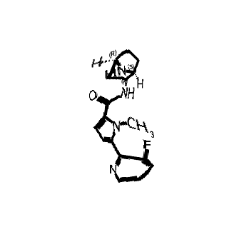 Cn1c(C(=O)N[C@@H]2C[C@H]3CC[C@@H]2N3)ccc1-c1ncccc1F